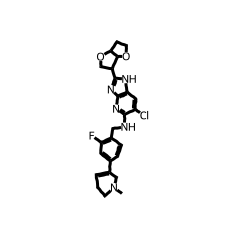 CN1CCC=C(c2ccc(CNc3nc4nc(C5COC6CCOC65)[nH]c4cc3Cl)c(F)c2)C1